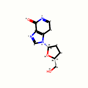 O=C1N=CCc2c1ncn2[C@@H]1CC[C@H](CO)O1